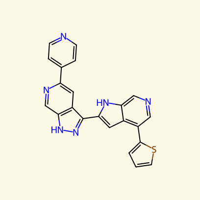 c1csc(-c2cncc3[nH]c(-c4n[nH]c5cnc(-c6ccncc6)cc45)cc23)c1